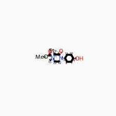 CCC1C(=O)N([C@H]2CC[C@H](O)CC2)CC[N+]1(C)C(=O)OC